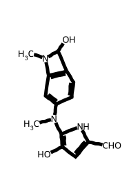 CN(c1ccc2c(c1)N(C)C2O)c1[nH]c(C=O)cc1O